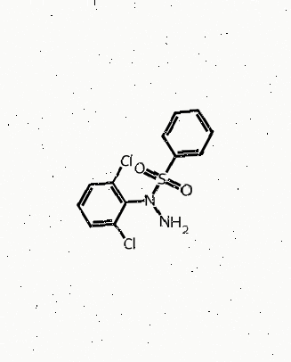 NN(c1c(Cl)cccc1Cl)S(=O)(=O)c1ccccc1